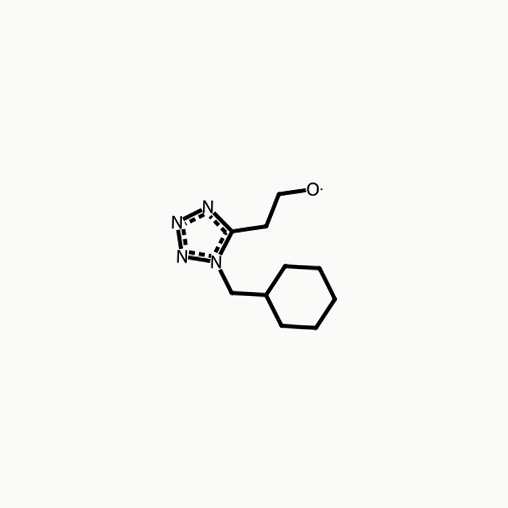 [O]CCc1nnnn1CC1CCCCC1